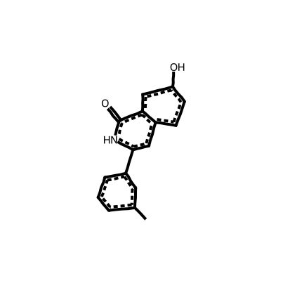 Cc1cccc(-c2cc3ccc(O)cc3c(=O)[nH]2)c1